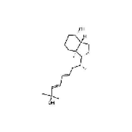 C[C@H](CC=CC=CC(C)(C)O)[C@H]1CC[C@H]2[C@@H](O)CCC[C@]12C